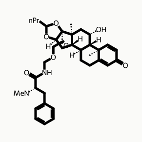 CCCC1O[C@@H]2C[C@H]3[C@@H]4CCC5=CC(=O)C=C[C@]5(C)[C@H]4[C@@H](O)C[C@]3(C)[C@]2(C(=O)COCNC(=O)[C@H](Cc2ccccc2)NC)O1